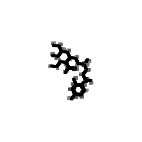 CCCC(C(C)=O)C(CCN(C)CCN(C)c1ccc(C)cc1C)CC(CC)CC